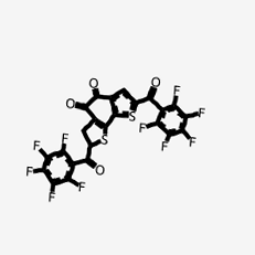 O=C1C(=O)c2cc(C(=O)c3c(F)c(F)c(F)c(F)c3F)sc2C2=C1CC(C(=O)c1c(F)c(F)c(F)c(F)c1F)S2